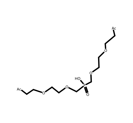 CC(=O)CCOCCOCP(=O)(O)COCCOCCC(C)=O